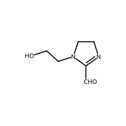 O=CC1=NCCN1CCO